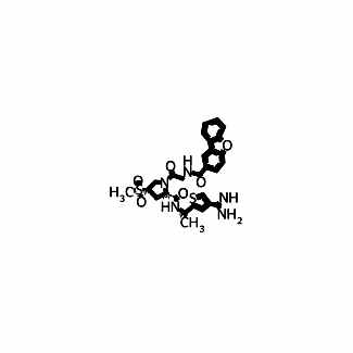 C[C@@H](NC(=O)[C@@H]1C[C@@H](S(C)(=O)=O)CN1C(=O)CNC(=O)c1ccc2oc3ccccc3c2c1)c1cc(C(=N)N)cs1